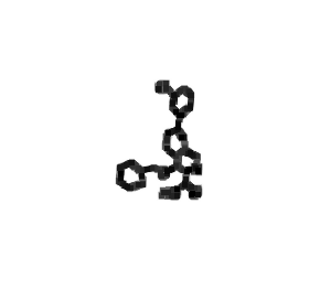 O=C(O)c1ncc2cc(-c3cccc(Cl)c3)ccc2c1OCc1ccccc1